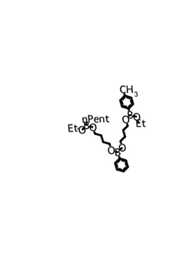 CCCCCB(OCC)OCCCCOB(OCCCCOB(OCC)c1ccc(C)cc1)c1ccccc1